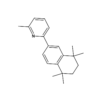 Cc1cccc(-c2ccc3c(c2)C(C)(C)CCC3(C)C)n1